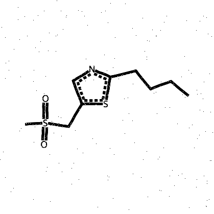 CCCCc1ncc(CS(C)(=O)=O)s1